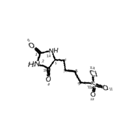 O=C1NC(=O)C(CCCCS(=O)(=O)Cl)N1